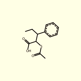 CCC(c1ccccc1)C(SC(C)=O)C(=O)O